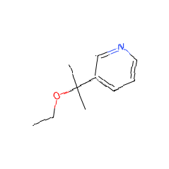 CCOC(C)(C)c1[c]nccc1